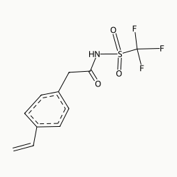 C=Cc1ccc(CC(=O)NS(=O)(=O)C(F)(F)F)cc1